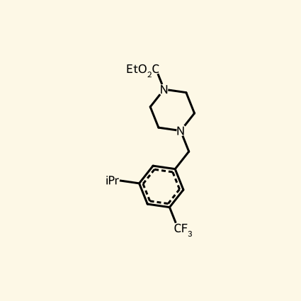 CCOC(=O)N1CCN(Cc2cc(C(C)C)cc(C(F)(F)F)c2)CC1